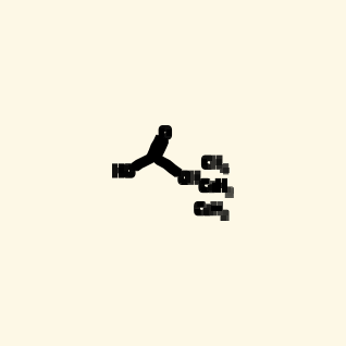 C.O=C(O)O.[CaH2].[CaH2]